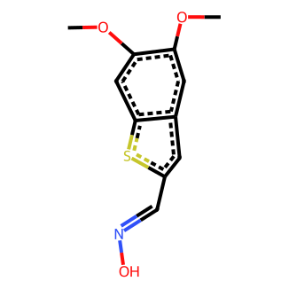 COc1cc2cc(C=NO)sc2cc1OC